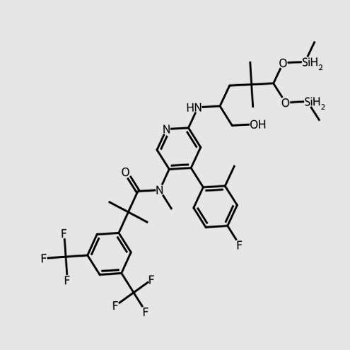 C[SiH2]OC(O[SiH2]C)C(C)(C)CC(CO)Nc1cc(-c2ccc(F)cc2C)c(N(C)C(=O)C(C)(C)c2cc(C(F)(F)F)cc(C(F)(F)F)c2)cn1